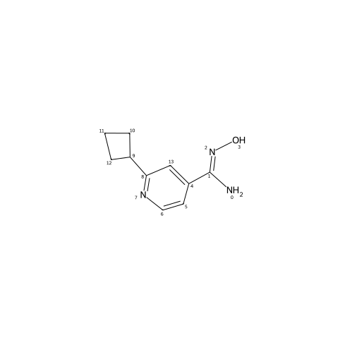 N/C(=N\O)c1ccnc(C2CCC2)c1